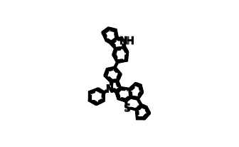 c1ccc(-n2c3ccc(-c4ccc5[nH]c6ccccc6c5c4)cc3c3c4cccc5c4c(cc32)Sc2ccccc2-5)cc1